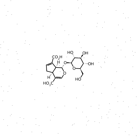 O=C(O)C1=CC[C@@H]2C(C(=O)O)=CO[C@@H](O[C@@H]3O[C@H](CO)[C@@H](O)[C@H](O)[C@H]3O)[C@H]12